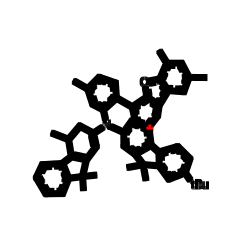 Cc1ccc(-c2cccc3c2oc2c(C)cc(C)cc23)c(N(C2=CC3=C(c4ccccc4C3(C)C)C(C)C2)c2ccc3c(c2)C(C)(C)c2cc(C(C)(C)C)ccc2-3)c1